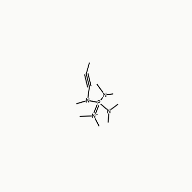 CC#CN(C)P(N(C)C)(N(C)C)=[N+](C)C